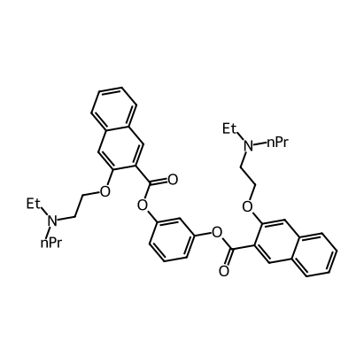 CCCN(CC)CCOc1cc2ccccc2cc1C(=O)Oc1cccc(OC(=O)c2cc3ccccc3cc2OCCN(CC)CCC)c1